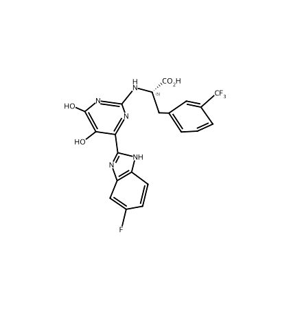 O=C(O)[C@H](Cc1cccc(C(F)(F)F)c1)Nc1nc(O)c(O)c(-c2nc3cc(F)ccc3[nH]2)n1